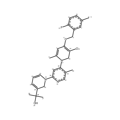 CC1=CC(OCc2cc(F)ccc2F)=C(Cl)CN1c1cc(N2C=CC=C(C(C)(C)O)C2)ncc1C